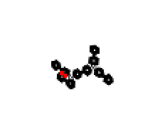 c1ccc(-c2ccc(N(c3ccc(-c4ccccc4)cc3)c3ccc(-c4ccc(N(c5ccc(-c6ccccc6)cc5)c5ccccc5-c5ccccc5)cc4)cc3)cc2)cc1